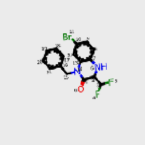 O=C1C(C(F)F)Nc2ccc(Br)cc2N1Cc1ccccc1